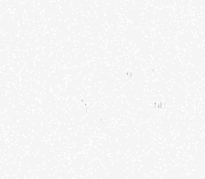 Cn1cc(C2OC2NC(c2ccccc2)c2ccccc2)c2cc[nH]c2c1=O